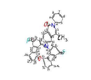 Cc1cn(-c2ccccc2)c(=O)c2ccc(N3c4ccc(F)cc4-c4ccccc4Oc4ccccc4-c4cc(F)ccc43)cc12